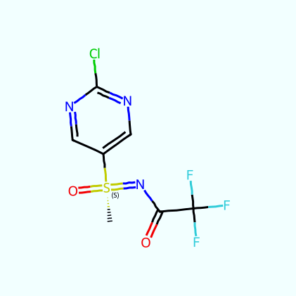 C[S@@](=O)(=NC(=O)C(F)(F)F)c1cnc(Cl)nc1